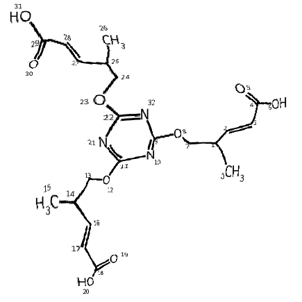 CC(C=CC(=O)O)COc1nc(OCC(C)C=CC(=O)O)nc(OCC(C)C=CC(=O)O)n1